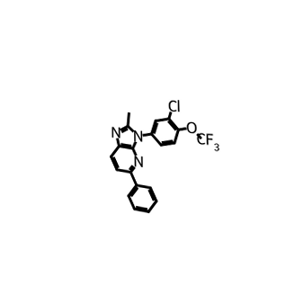 Cc1nc2ccc(-c3ccccc3)nc2n1-c1ccc(OC(F)(F)F)c(Cl)c1